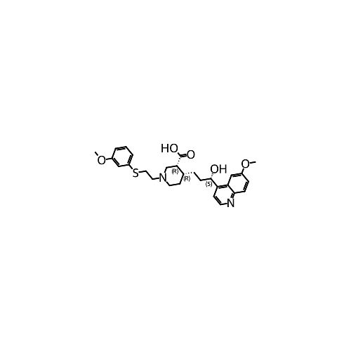 COc1cccc(SCCN2CC[C@@H](CC[C@H](O)c3ccnc4ccc(OC)cc34)[C@@H](C(=O)O)C2)c1